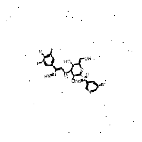 N=N/C(=C\NC1C(O)[C@@H](S(=O)(=O)c2cncc(Br)c2)OC(CO)[C@@H]1O)c1cc(F)c(F)c(F)c1